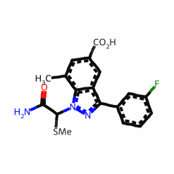 CSC(C(N)=O)n1nc(-c2cccc(F)c2)c2cc(C(=O)O)cc(C)c21